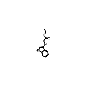 CCOC(=O)CNc1c[nH]c2ccccc12